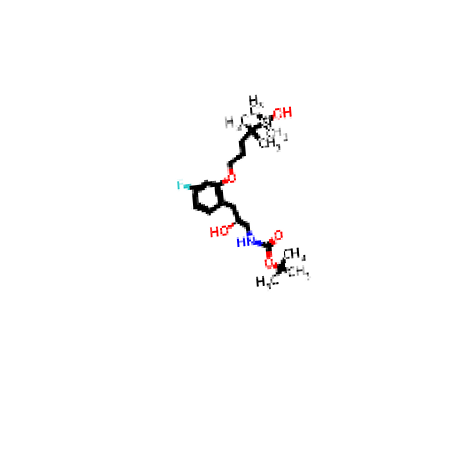 CC(C)(C)OC(=O)NC[C@@H](O)Cc1ccc(F)cc1OCCCC(C)(C)[Si](C)(C)O